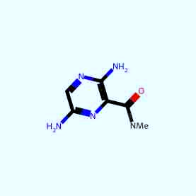 CNC(=O)c1nc(N)cnc1N